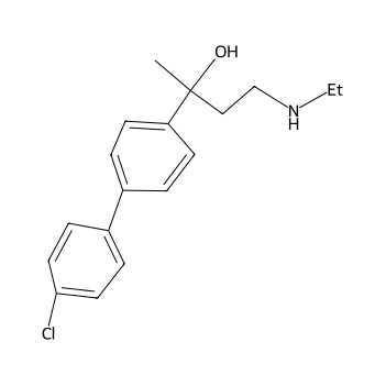 CCNCCC(C)(O)c1ccc(-c2ccc(Cl)cc2)cc1